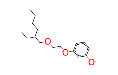 CCCCC(CC)COCCOc1cccc([O])c1